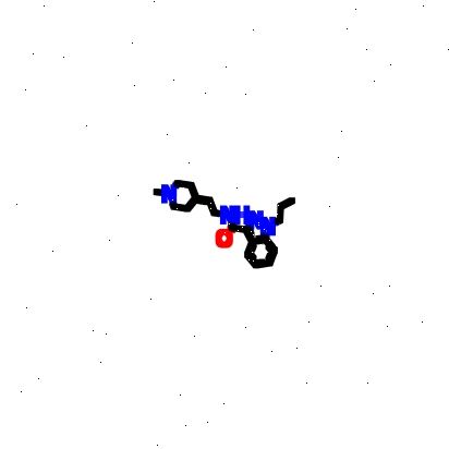 CCCn1nc(C(=O)NCC=C2CCN(C)CC2)c2ccccc21